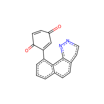 O=C1C=CC(=O)C(c2cccc3ccc4ccnnc4c23)=C1